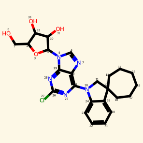 OCC1OC(n2cnc3c(N4CC5(CCCCCC5)c5ccccc54)nc(Cl)nc32)C(O)C1O